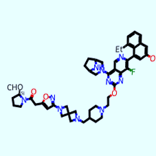 CCc1cccc2cc(O)cc(-c3ncc4c(N5CC6CCC(C5)N6)nc(OCCN5CCC(CN6CC7(C6)CN(c6cc(CC(=O)N8CCC[C@H]8C=O)on6)C7)CC5)nc4c3F)c12